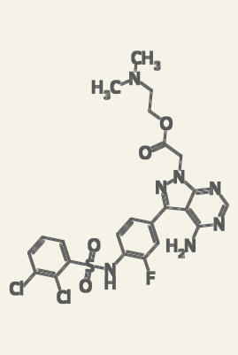 CN(C)CCOC(=O)Cn1nc(-c2ccc(NS(=O)(=O)c3cccc(Cl)c3Cl)c(F)c2)c2c(N)ncnc21